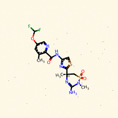 Cc1cc(OC(F)F)cnc1C(=O)Nc1csc([C@]2(C)CS(=O)(=O)N(C)C(N)=N2)n1